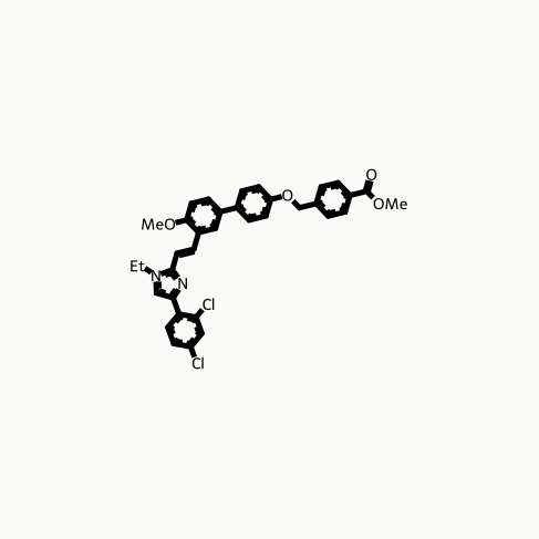 CCn1cc(-c2ccc(Cl)cc2Cl)nc1C=Cc1cc(-c2ccc(OCc3ccc(C(=O)OC)cc3)cc2)ccc1OC